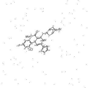 COC(=O)C1=C(CN2CC3CC2CN3C(C)=O)NC(c2nccs2)=NC1c1ccc(F)cc1Cl